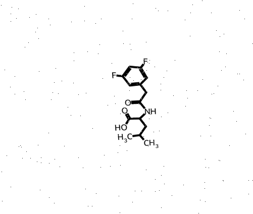 CC(C)CC(NC(=O)Cc1cc(F)cc(F)c1)C(=O)O